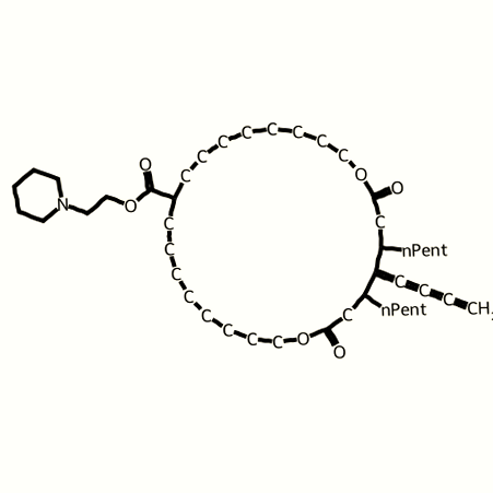 C=C=C=C=C1C(CCCCC)CC(=O)OCCCCCCCCC(C(=O)OCCN2CCCCC2)CCCCCCCCOC(=O)CC1CCCCC